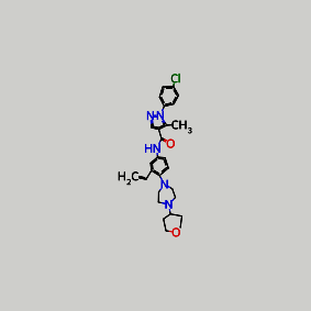 C=Cc1cc(NC(=O)c2cnn(-c3ccc(Cl)cc3)c2C)ccc1N1CCN(C2CCOCC2)CC1